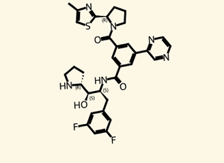 Cc1csc([C@H]2CCCN2C(=O)c2cc(C(=O)N[C@@H](Cc3cc(F)cc(F)c3)[C@@H](O)[C@H]3CCCN3)cc(-c3cnccn3)c2)n1